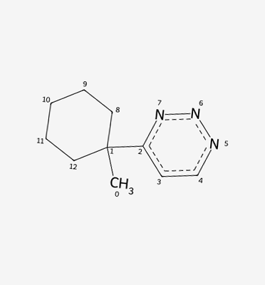 CC1(c2ccnnn2)CCCCC1